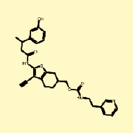 C#Cc1c(NC(=O)CC(C)c2cccc(O)c2)sc2c1CCC(COC(=O)NCCc1cccnc1)C2